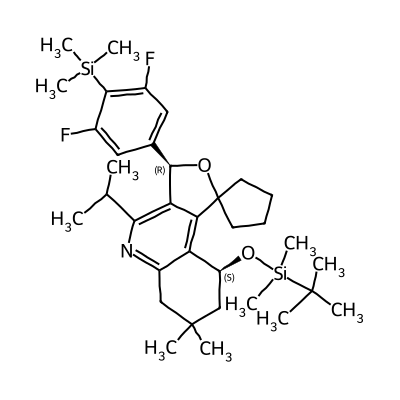 CC(C)c1nc2c(c3c1[C@@H](c1cc(F)c([Si](C)(C)C)c(F)c1)OC31CCCC1)[C@@H](O[Si](C)(C)C(C)(C)C)CC(C)(C)C2